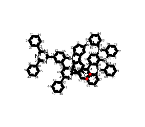 Cc1ccc2c(c1)c1cc(C)ccc1n2-c1ccc(-c2nc(-c3ccccc3)nc(-c3ccccc3)n2)cc1-c1cc(-c2ccccc2)nc(-c2cccc(-c3ccc4c5c3N(c3ccccc3)c3ccccc3B5c3ccccc3N4c3ccccc3)c2)n1